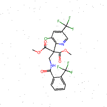 COC(=O)C(CNC(=O)c1ccccc1C(F)(F)F)(C(=O)OC)c1ncc(C(F)(F)F)cc1Cl